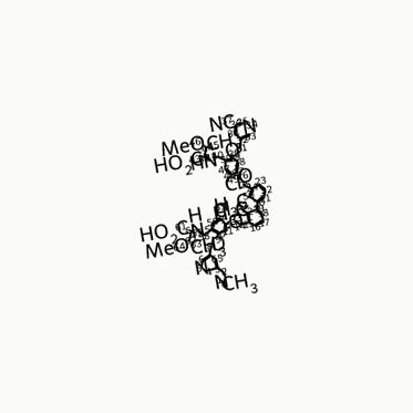 C/N=C/c1cncc(COc2cc(OCc3cccc(-c4cccc(COc5cc(OCc6cncc(C#N)c6)c(CN[C@H](C(=O)O)[C@@H](C)OC)cc5Cl)c4C)c3C)c(Cl)cc2CN[C@H](C(=O)O)[C@@H](C)OC)c1